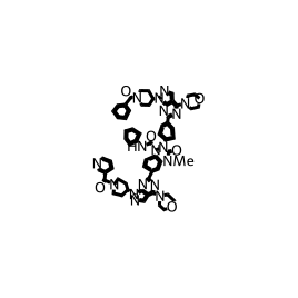 CNC(=O)N(c1ccc(-c2nc(N3CCOCC3)c3cnn(C4CCN(C(=O)c5ccccc5)CC4)c3n2)cc1)N(C(=O)Nc1ccccc1)c1ccc(-c2nc(N3CCOCC3)c3cnn(C4CCN(C(=O)c5cccnc5)CC4)c3n2)cc1